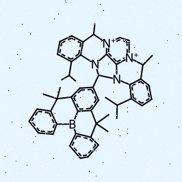 CC(C)c1cccc2c1N1c3c4[n+](cc[n+]3C2C)C(C)c2cccc(C(C)C)c2N4C1c1cc2c3c(c1)C(C)(C)c1ccccc1B3c1ccccc1C2(C)C